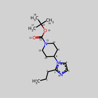 CCCc1nccn1C1CCN(C(=O)OC(C)(C)C)CC1